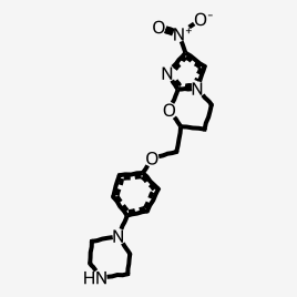 O=[N+]([O-])c1cn2c(n1)OC(COc1ccc(N3CCNCC3)cc1)CC2